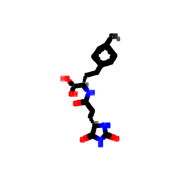 Cc1ccc(CC[C@H](NC(=O)CC[C@@H]2NC(=O)NC2=O)B(O)O)cc1